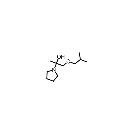 CC(C)COCC(C)(O)N1CCCC1